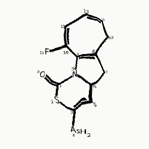 O=C1SC([AsH2])=CC2CC3=C(C(F)=CC=CC3)N12